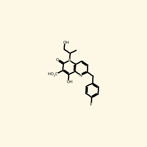 CC(CO)n1c(=O)c(C(=O)O)c(O)c2nc(Cc3ccc(F)cc3)ccc21